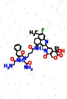 CC[C@@]1(O)C(=O)OCc2c1cc1n(c2=O)Cc2c-1nc1cc(F)c(C)c3c1c2[C@@H](NC(=O)CCCN(CC(N)=O)C(=O)[C@H](Cc1ccccc1)NC(=O)CN)CC3